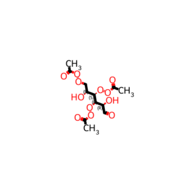 CC(=O)OOC[C@@H](O)[C@H](OOC(C)=O)[C@H](OOC(C)=O)[C@@H](O)C=O